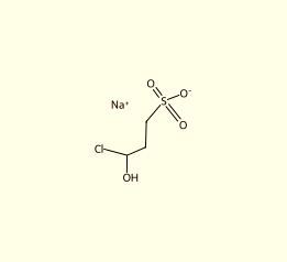 O=S(=O)([O-])CCC(O)Cl.[Na+]